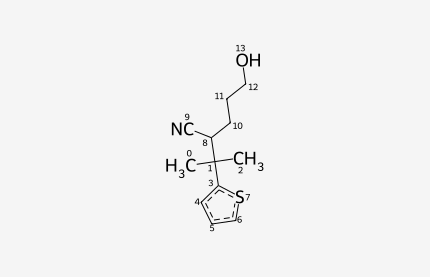 CC(C)(c1cccs1)C(C#N)CCCO